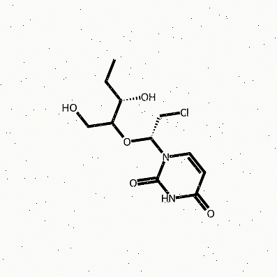 CC[C@H](O)C(CO)O[C@H](CCl)n1ccc(=O)[nH]c1=O